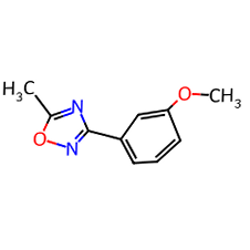 COc1cccc(-c2noc(C)n2)c1